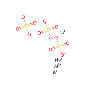 O=S(=O)([O-])[O-].O=S(=O)([O-])[O-].O=S(=O)([O-])[O-].[Al+3].[K+].[Li+].[Na+]